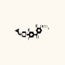 COc1ccc(C(=O)c2cc(F)c(N3CCN(CC4CC4)CC3)c(F)c2)cc1F